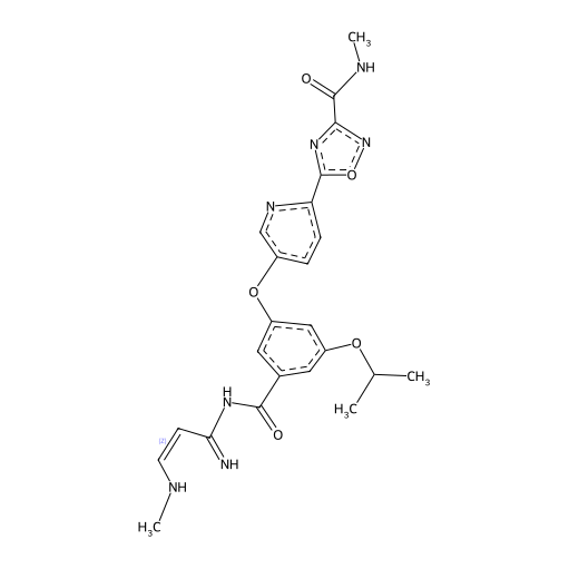 CN/C=C\C(=N)NC(=O)c1cc(Oc2ccc(-c3nc(C(=O)NC)no3)nc2)cc(OC(C)C)c1